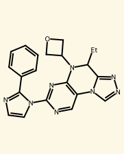 CCC1c2nncn2-c2cnc(-n3ccnc3-c3ccccc3)nc2N1C1COC1